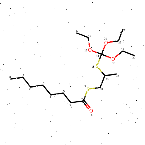 CCCCCCCC(=O)SCC(C)SC(OCC)(OCC)OCC